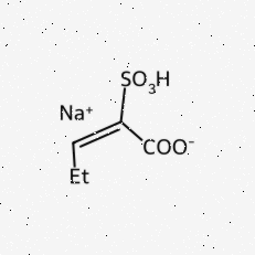 CC/C=C(\C(=O)[O-])S(=O)(=O)O.[Na+]